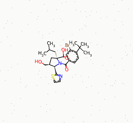 CC(C)C[C@@]1(C(=O)O)C[C@H](CO)[C@H](c2nccs2)N1C(=O)c1ccc(C(C)(C)C)c(Br)c1